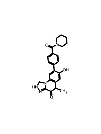 CC1C(=O)C2=NNCN2c2cc(-c3ccc(C(=O)N4CCCCC4)cc3)c(O)cc21